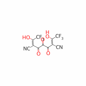 N#CC(C(=O)C(=O)C(=O)C(C#N)=C(O)C(F)(F)F)=C(O)C(F)(F)F